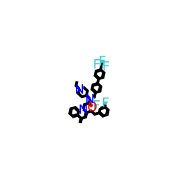 C=C1C=C(CCc2cccc(F)c2F)N(CC(=O)N(Cc2ccc(-c3ccc(C(F)(F)F)cc3)cc2)C2CCN(CC)CC2)c2ccccc21